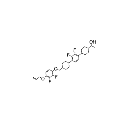 C=CCOc1ccc(OCC2CCC(c3ccc(C4CCC(C(C)O)CC4)c(F)c3F)CC2)c(F)c1F